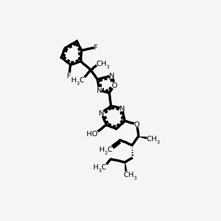 C=C[C@@H](C[C@@H](C)CC)[C@H](C)Oc1cc(O)nc(-c2nc(C(C)(C)c3c(F)cccc3F)no2)n1